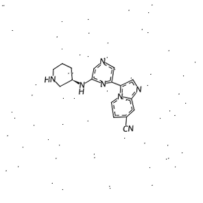 N#Cc1ccn2c(-c3cncc(N[C@@H]4CCCNC4)n3)cnc2c1